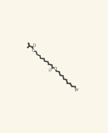 C=C(C)C(=O)OCCCCCCCCCC(=O)OCCCCCCCCCCBr